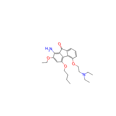 CCCCOc1cc(OCC)c(N)c2c1-c1c(OCCN(CC)CC)cccc1C2=O